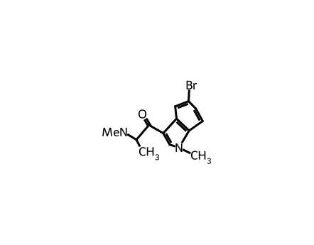 CNC(C)C(=O)c1cn(C)c2ccc(Br)cc12